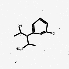 CC(O)N(c1cccc(Cl)c1)C(C)S(=O)(=O)O